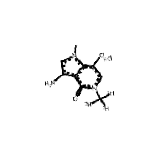 Cl.[2H]C([2H])([2H])n1cc(Cl)c2c(c(N)cn2C)c1=O